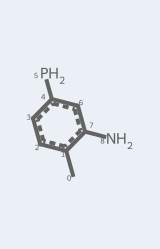 Cc1ccc(P)cc1N